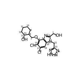 OCc1nc2c(OCC3CCCC[C@@H]3O)c(Cl)c(Cl)cc2n1Cc1nn[nH]n1